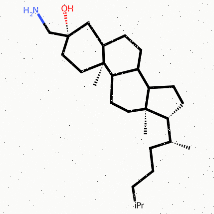 CC(C)CCC[C@@H](C)[C@H]1CCC2C3CCC4C[C@](O)(CN)CC[C@]4(C)C3CC[C@@]21C